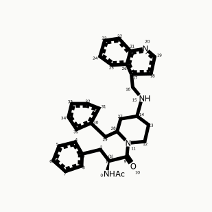 CC(=O)N[C@@H](Cc1ccccc1)C(=O)N1CCC(NCc2ccnc3ccccc23)CC1Cc1ccccc1